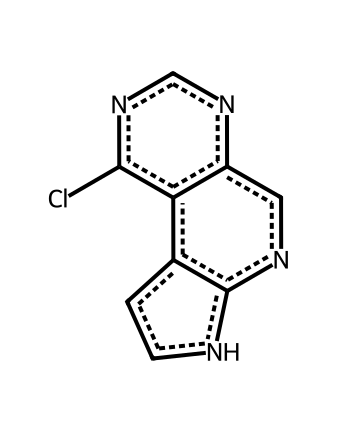 Clc1ncnc2cnc3[nH]ccc3c12